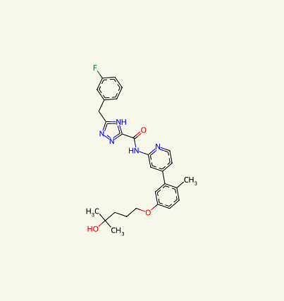 Cc1ccc(OCCCC(C)(C)O)cc1-c1ccnc(NC(=O)c2nnc(Cc3cccc(F)c3)[nH]2)c1